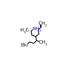 C=CCCC(C[C@H](C)N)C(C)CCC(C)(C)C